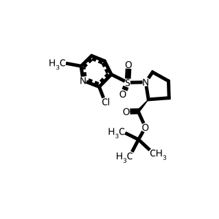 Cc1ccc(S(=O)(=O)N2CCC[C@H]2C(=O)OC(C)(C)C)c(Cl)n1